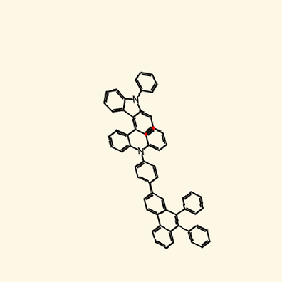 c1ccc(-c2c(-c3ccccc3)c3cc(-c4ccc(N(c5ccccc5)c5ccccc5-c5cccc6c5c5ccccc5n6-c5ccccc5)cc4)ccc3c3ccccc23)cc1